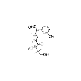 C[C@@H](CNC(=O)[C@H](O)C(C)(C)CO)N(C=O)c1cccc(C#N)c1